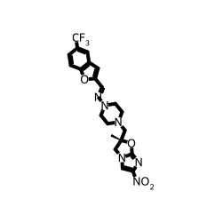 C[C@]1(CN2CCN(N=Cc3cc4cc(C(F)(F)F)ccc4o3)CC2)Cn2cc([N+](=O)[O-])nc2O1